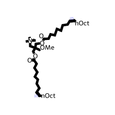 CCCCCCCC/C=C\CCCCCCCC(=O)OCC(COC)(COC(=O)CCCCCCC/C=C\CCCCCCCC)C[N+](C)(C)C